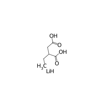 CCC(CC(=O)O)C(=O)O.[LiH]